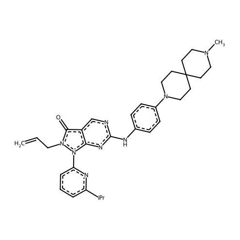 C=CCn1c(=O)c2cnc(Nc3ccc(N4CCC5(CCN(C)CC5)CC4)cc3)nc2n1-c1cccc(C(C)C)n1